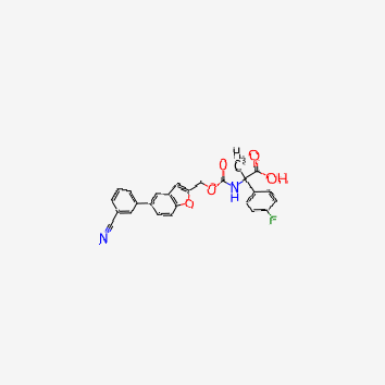 CC(NC(=O)OCc1cc2cc(-c3cccc(C#N)c3)ccc2o1)(C(=O)O)c1ccc(F)cc1